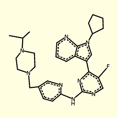 CC(C)N1CCN(Cc2ccc(Nc3ncc(F)c(-c4cn(C5CCCC5)c5ncccc45)n3)nc2)CC1